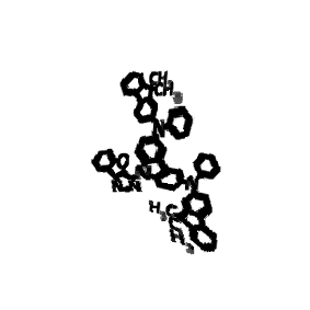 CC1(C)c2ccccc2-c2ccc(N(c3ccccc3)c3ccc4c(c3)c3cc(N(c5ccccc5)c5ccc6c(c5)C(C)(C)c5ccccc5-6)ccc3n4-c3ncnc4c3oc3ccccc34)cc21